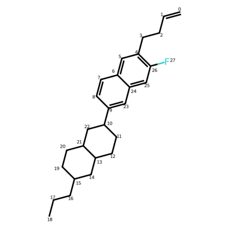 C=CCCc1cc2ccc(C3CCC4CC(CCC)CCC4C3)cc2cc1F